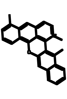 Cc1c2c(cc3ccccc13)Oc1c3cccc(C)c3cc3cc[n+](C)c-2c13